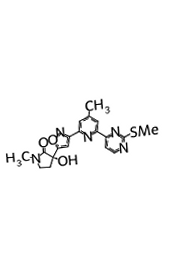 CSc1nccc(-c2cc(C)cc(-c3cc([C@]4(O)CCN(C)C4=O)on3)n2)n1